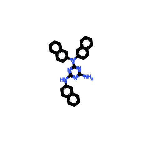 Nc1nc(Nc2ccc3ccccc3c2)nc(N(c2ccc3ccccc3c2)c2ccc3ccccc3c2)n1